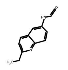 CCc1ccc2cc(NC=O)ccc2n1